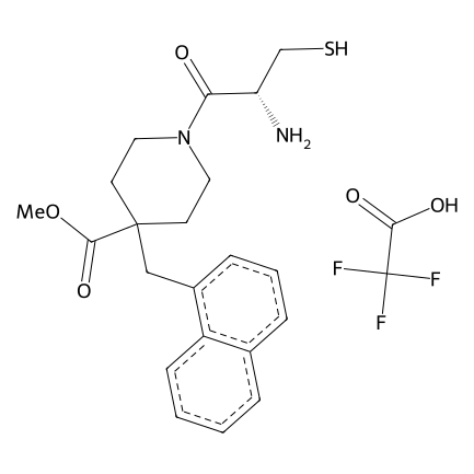 COC(=O)C1(Cc2cccc3ccccc23)CCN(C(=O)[C@@H](N)CS)CC1.O=C(O)C(F)(F)F